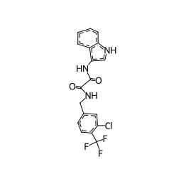 O=C(NCc1ccc(C(F)(F)F)c(Cl)c1)C(=O)Nc1c[nH]c2ccccc12